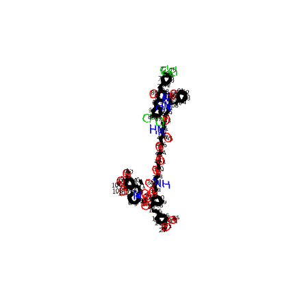 CC[C@H](C(=O)N1CCCC[C@H]1C(=O)O[C@H](CCc1ccc(OC)c(OC)c1)c1cccc(OCC(=O)NCCOCCOCCOCCC(=O)NCCOCCN[C@@H](Cc2ccccc2)C(=O)N2C/C(=C\c3ccc(Cl)c(Cl)c3)C(=O)/C(=C/c3ccc(Cl)c(Cl)c3)C2)c1)c1cc(OC)c(OC)c(OC)c1